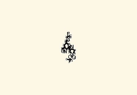 CC(C)(C)OC(=O)N1CCc2nn3c(c2C1)-c1nocc1CC(COCC(F)F)C3